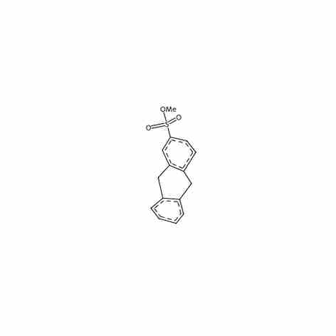 COS(=O)(=O)c1ccc2c(c1)Cc1ccccc1C2